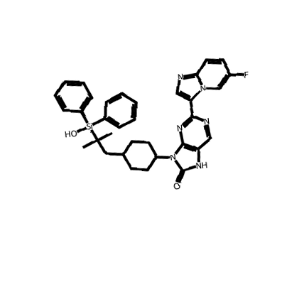 CC(C)(CC1CCC(n2c(=O)[nH]c3cnc(-c4cnc5ccc(F)cn45)nc32)CC1)[Si](O)(c1ccccc1)c1ccccc1